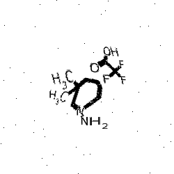 CC1(C)CCCN(N)C1.O=C(O)C(F)(F)F